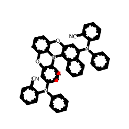 N#Cc1ccccc1N(c1ccccc1)c1cc2c(c3ccccc13)B1c3c(cccc3Oc3cc(N(c4ccccc4)c4ccccc4C#N)c4ccccc4c31)O2